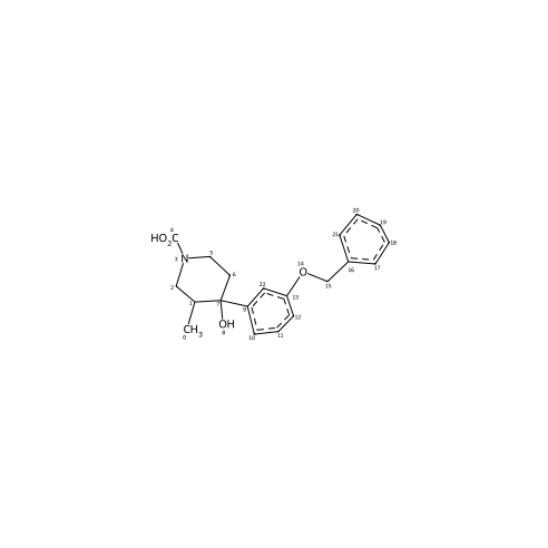 CC1CN(C(=O)O)CCC1(O)c1cccc(OCc2ccccc2)c1